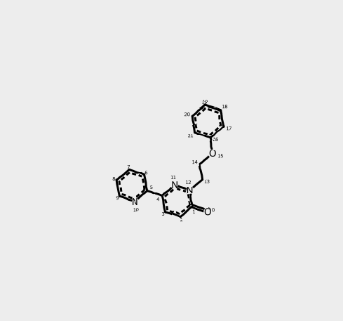 O=c1ccc(-c2ccccn2)nn1CCOc1ccccc1